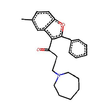 Cc1ccc2oc(-c3ccccc3)c(C(=O)CCN3CCCCCC3)c2c1